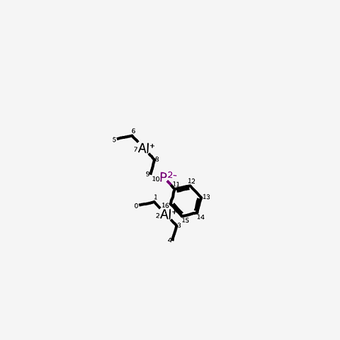 C[CH2][Al+][CH2]C.C[CH2][Al+][CH2]C.[P-2]c1ccccc1